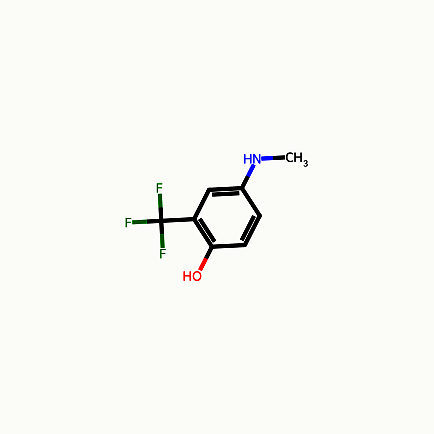 CNc1ccc(O)c(C(F)(F)F)c1